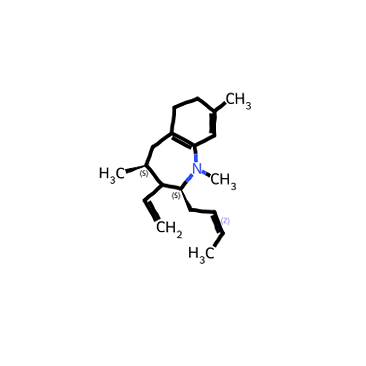 C=CC1[C@@H](C)CC2=C(C=C(C)CC2)N(C)[C@H]1C/C=C\C